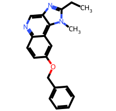 CCc1nc2cnc3ccc(OCc4ccccc4)cc3c2n1C